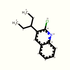 CCC(CC)c1cc2ccccc2nc1Cl